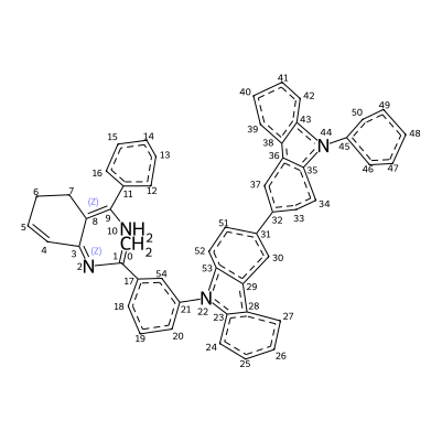 C=C(/N=C1/C=CCC/C1=C(/N)c1ccccc1)c1cccc(-n2c3ccccc3c3cc(-c4ccc5c(c4)c4ccccc4n5-c4ccccc4)ccc32)c1